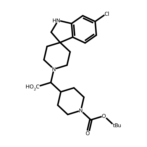 CC(C)(C)OC(=O)N1CCC(C(C(=O)O)N2CCC3(CC2)CNc2cc(Cl)ccc23)CC1